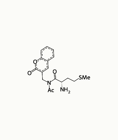 CSCC[C@H](N)C(=O)N(Cc1cc2ccccc2oc1=O)C(C)=O